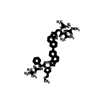 COCC1C[C@@H](c2nc3ccc4cc(-c5ccc6c(ccc7nc(CN(C(=O)[C@@H](NC(=O)OC)C(C)C)[C@@H]8C(C)[C@@H]8C)[nH]c76)c5)ccc4c3[nH]2)N(C(=O)[C@H](NC(=O)OC(C)(C)C)c2ccccc2)C1